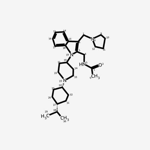 CC(=O)NCc1c(CN2CCCC2)c2ccccc2n1C1CCN([C@H]2CC[C@@H](C(C)C)CC2)CC1